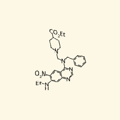 CCNc1cc2ncnc(N(Cc3ccccc3)CN3CCC(C(=O)OCC)CC3)c2cc1[N+](=O)[O-]